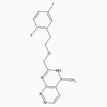 C=C1NC(COCCc2cc(F)ccc2F)=Nc2nnccc21